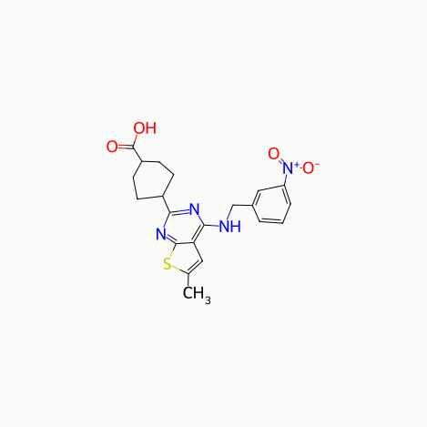 Cc1cc2c(NCc3cccc([N+](=O)[O-])c3)nc(C3CCC(C(=O)O)CC3)nc2s1